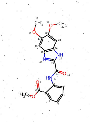 COC(=O)c1ccccc1NC(=O)c1nc2cc(OC)c(OC)cc2[nH]1